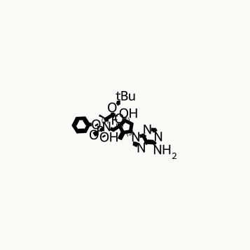 C=C1[C@@H](n2cnc3c(N)ncnc32)C[C@H](O)[C@@]1(F)CN([C@@H](C)C(=O)OCC(C)(C)C)P(=O)(O)Oc1ccccc1